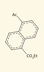 CCOC(=O)c1cccc2c(C(C)=O)cccc12